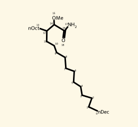 CCCCCCCCCCCCCCCCCCCCCC(CCCCCCCC)C(OC)C(N)=O